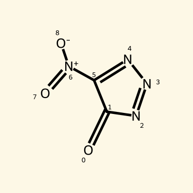 O=C1N=NN=C1[N+](=O)[O-]